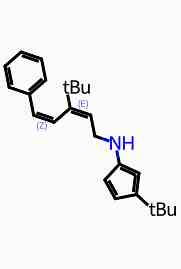 CC(C)(C)C1=C=C(NC/C=C(\C=C/c2ccccc2)C(C)(C)C)C=C1